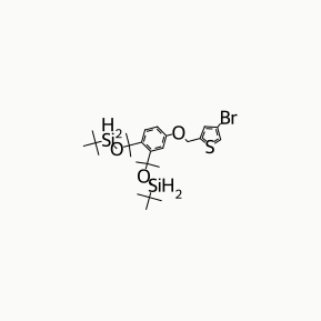 CC(C)(C)[SiH2]OC(C)(C)c1ccc(OCc2cc(Br)cs2)cc1C(C)(C)O[SiH2]C(C)(C)C